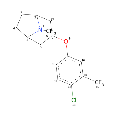 CN1C2CCC1CC(Oc1ccc(Cl)c(C(F)(F)F)c1)C2